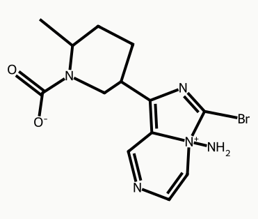 CC1CCC(C2=C3C=NC=C[N+]3(N)C(Br)=N2)CN1C(=O)[O-]